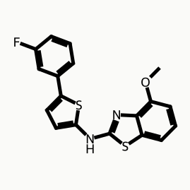 COc1cccc2sc(Nc3ccc(-c4cccc(F)c4)s3)nc12